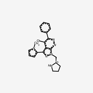 Cn1cccc1-c1nn(C[C@H]2CCCN2)c2nnc(-c3ccccc3)c(Cl)c12